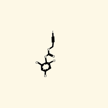 O=C(OCC#CI)Oc1c(Cl)cc(Cl)cc1Cl